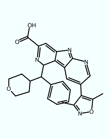 Cc1noc(C)c1-c1cnc2c(c1)=C1C(=CC(C(=O)O)=NC1C(c1ccccc1)C1CCOCC1)N=2